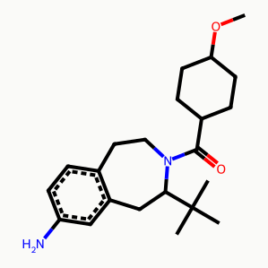 COC1CCC(C(=O)N2CCc3ccc(N)cc3CC2C(C)(C)C)CC1